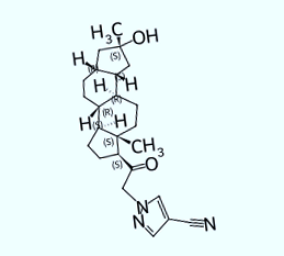 C[C@]1(O)C[C@H]2CC[C@@H]3[C@H](CC[C@]4(C)[C@@H](C(=O)Cn5cc(C#N)cn5)CC[C@@H]34)[C@H]2C1